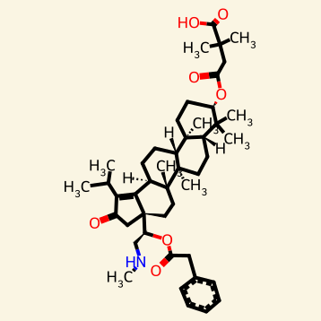 CNC[C@H](OC(=O)Cc1ccccc1)[C@@]12CC[C@]3(C)[C@H](CC[C@@H]4[C@@]5(C)CC[C@H](OC(=O)CC(C)(C)C(=O)O)C(C)(C)[C@@H]5CC[C@]43C)C1=C(C(C)C)C(=O)C2